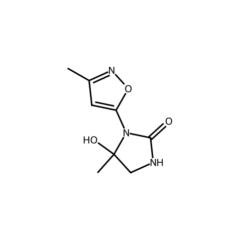 Cc1cc(N2C(=O)NCC2(C)O)on1